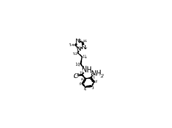 Nc1ccccc1C(=O)NCCCn1cncn1